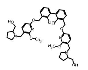 COc1nc(OCc2cccc(-c3cccc(COc4ccc(CN5CCCC5CO)c(OC)n4)c3Cl)c2Cl)ccc1CN1CCCC1CO